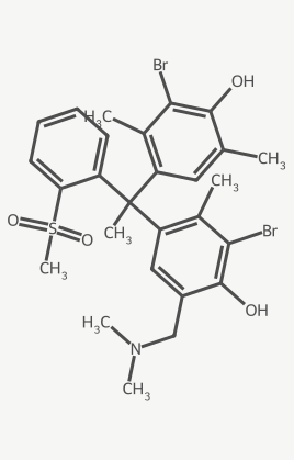 Cc1cc(C(C)(c2ccccc2S(C)(=O)=O)c2cc(CN(C)C)c(O)c(Br)c2C)c(C)c(Br)c1O